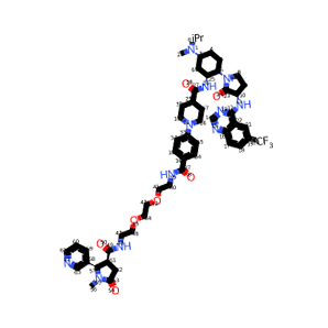 CC(C)N(C)[C@@H]1CC[C@H](N2CC[C@H](Nc3ncnc4ccc(C(F)(F)F)cc34)C2=O)[C@H](NC(=O)C2CCN(c3ccc(C(=O)NCCOCCOCCNC(=O)[C@H]4CC(=O)N(C)[C@@H]4c4cccnc4)cc3)CC2)C1